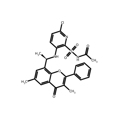 CC(=O)NS(=O)(=O)c1nc(Cl)ccc1N[C@H](C)c1cc(C)cc2c(=O)c(C)c(-c3ccccc3)oc12